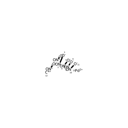 O=N[O-].O=N[O-].O=N[O-].O=N[O-].O=N[O-].O=N[O-].[C+4].[Pd+2]